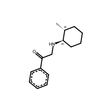 C[C@@H]1CCCC[C@H]1NCC(=O)c1ccccc1